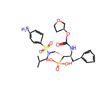 CC(C)CN(C[C@H]([C@H](Cc1ccccc1)NC(=O)O[C@H]1CCOC1)P(=O)(O)O)S(=O)(=O)c1ccc(N)cc1